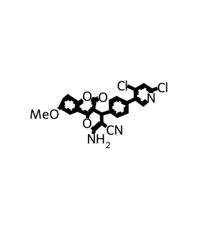 COc1ccc2oc(=O)c3c(c2c1)OC(N)=C(C#N)C3c1ccc(-c2cnc(Cl)cc2Cl)cc1